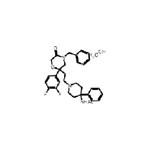 CC(=O)NC1(c2ccccc2)CCN(CCC2(c3ccc(F)c(F)c3)CN(Cc3ccccc3)C(=O)CO2)CC1.Cl.O